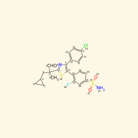 CC(C=O)(CC1CC1)c1nc(-c2ccc(Cl)cc2)c(-c2ccc(S(N)(=O)=O)cc2F)s1